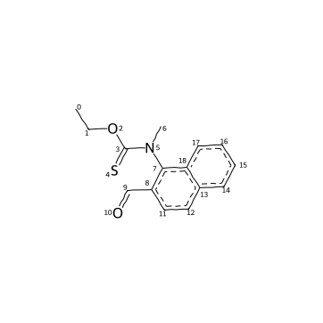 CCOC(=S)N(C)c1c(C=O)ccc2ccccc12